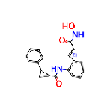 O=C(/C=C/c1ccccc1NC(=O)C1CC1c1ccccc1)NO